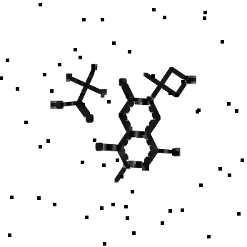 Cn1nc(Cl)c2cn(C3(C)CNC3)c(=O)cc2c1=O.O=C(O)C(F)(F)F